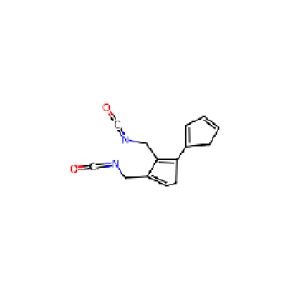 O=C=NCC1=CCC(C2=CC=CC2)=C1CN=C=O